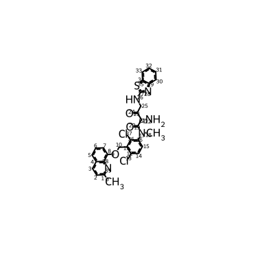 Cc1ccc2cccc(OCc3c(Cl)ccc(N(C)C(=O)[C@@H](N)C(=O)CNc4nc5ccccc5s4)c3Cl)c2n1